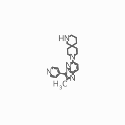 Cc1nc2ccc(N3CCC4(CCCNC4)CC3)nn2c1-c1ccncc1